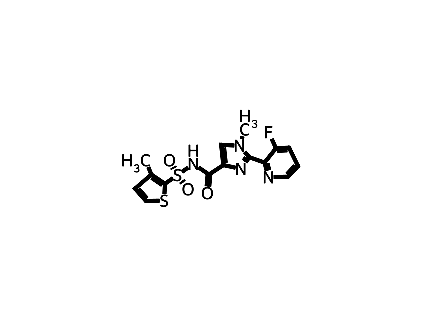 Cc1ccsc1S(=O)(=O)NC(=O)c1cn(C)c(-c2ncccc2F)n1